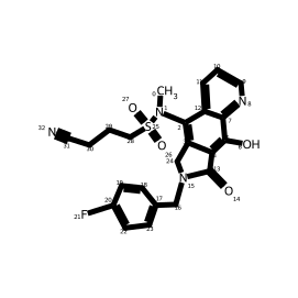 CN(c1c2c(c(O)c3ncccc13)C(=O)N(Cc1ccc(F)cc1)C2)S(=O)(=O)CCCC#N